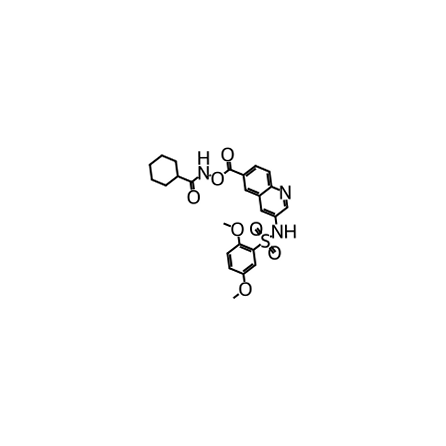 COc1ccc(OC)c(S(=O)(=O)Nc2cnc3ccc(C(=O)ONC(=O)C4CCCCC4)cc3c2)c1